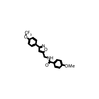 COc1ccc(C(=O)NCc2cc(-c3ccc(OC(F)(F)F)cc3)no2)cc1